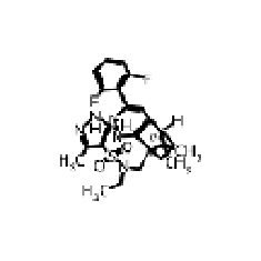 CCN(C[C@@]12CC[C@@H](c3cc(-c4c(F)cccc4F)nnc31)C2(C)C)S(=O)(=O)c1c(C)n[nH]c1C